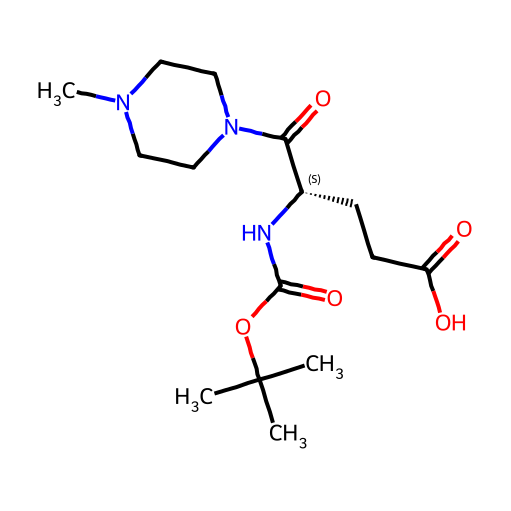 CN1CCN(C(=O)[C@H](CCC(=O)O)NC(=O)OC(C)(C)C)CC1